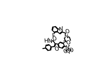 CNC(=O)c1c(-c2ccc(C)cc2)oc2cc(N(C)S(C)(=O)=O)c([C@H]3CN(C(=O)c4cc5c(F)cccc5n4C)CCO3)cc12